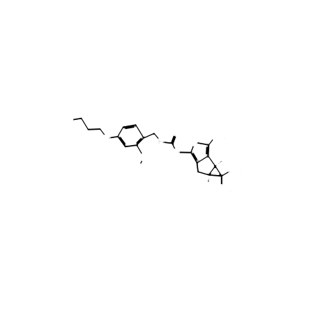 COc1cc(OCCCF)ccc1CNC(=O)Oc1sc(C)c2c1C[C@@H]1[C@H]2C1(C)C